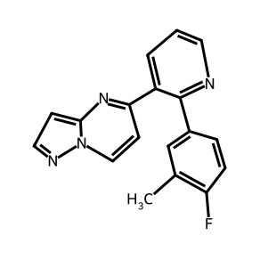 Cc1cc(-c2ncccc2-c2ccn3nccc3n2)ccc1F